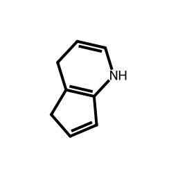 C1=CNC2=C(C1)CC=C2